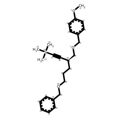 COc1ccc(COC[C@H](C#C[Si](C)(C)C)CCCOCc2ccccc2)cc1